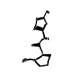 CCCN1CCC[C@H]1C(=O)Nc1nnc(C(C)(C)C)s1